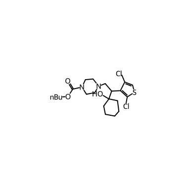 CCCCOC(=O)N1CCN(CC(c2c(Cl)csc2Cl)C2(O)CCCCC2)CC1